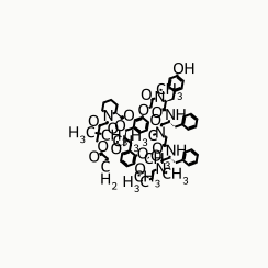 C=CC(=O)OCC(C)(C)C(=O)C(=O)N1CCCC[C@H]1C(=O)O[C@H](CCc1c(OC)ccc(OC)c1OC)c1cccc(OCC(=O)N(C)[C@@H](Cc2ccc(O)cc2)C(=O)N[C@H](Cc2ccccc2)C(=O)N(C)CC(=O)N[C@H](Cc2ccccc2)C(=O)N(C)CCC)c1